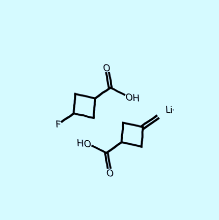 C=C1CC(C(=O)O)C1.O=C(O)C1CC(F)C1.[Li]